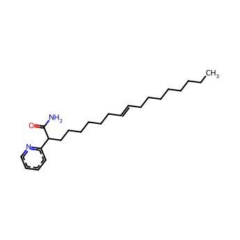 CCCCCCCCC=CCCCCCCC(C(N)=O)c1ccccn1